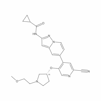 COCCN1CC[C@@H](Oc2cnc(C#N)cc2-c2ccn3nc(NC(=O)C4CC4)cc3c2)C1